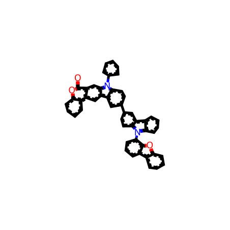 O=c1oc2ccccc2c2cc3c4cc(-c5ccc6c(c5)c5ccccc5n6-c5cccc6c5oc5ccccc56)ccc4n(-c4ccccc4)c3cc12